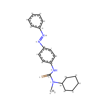 CN(C(=S)Nc1ccc(N=Nc2ccccc2)cc1)C1CCCCC1